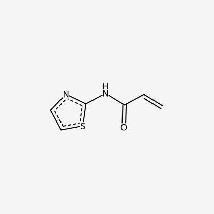 C=CC(=O)Nc1nccs1